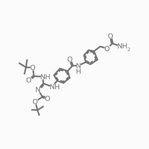 CC(C)(C)OC(=O)/N=C(/NC(=O)OC(C)(C)C)Nc1ccc(C(=O)Nc2ccc(COC(N)=O)cc2)cc1